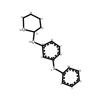 c1ccc(Sc2cccc(OC3CCCCO3)c2)cc1